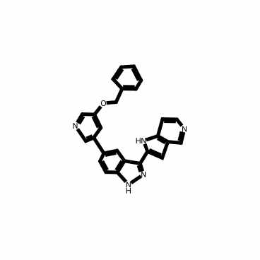 c1ccc(COc2cncc(-c3ccc4[nH]nc(-c5cc6cnccc6[nH]5)c4c3)c2)cc1